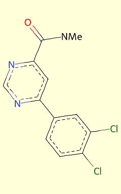 CNC(=O)c1cc(-c2ccc(Cl)c(Cl)c2)ncn1